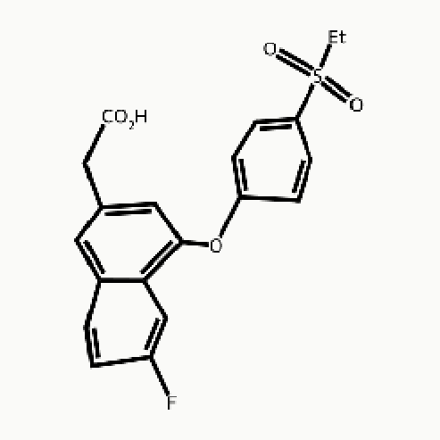 CCS(=O)(=O)c1ccc(Oc2cc(CC(=O)O)cc3ccc(F)cc23)cc1